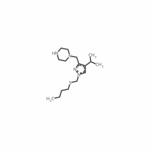 CCCCSCn1cc(C(C)C)c(CN2CCNCC2)n1